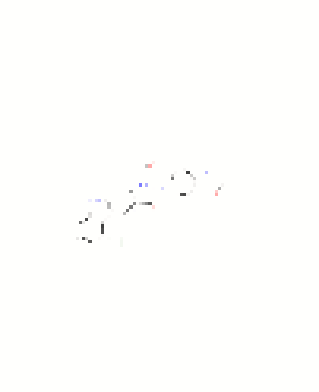 CC(C)(C)OC(=O)Nc1ccc(N2C(=O)/C(=C/c3c(C(=O)O)[nH]c4cc(Cl)cc(Cl)c34)CN2C(=O)OC(C)(C)C)cc1